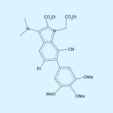 CCOC(=O)Cn1c(C(=O)OCC)c(N(C)C)c2cc(CC)c(-c3cc(OC)c(OC)c(OC)c3)c(C#N)c21